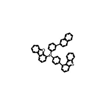 c1cc(-c2ccc3ccccc3c2)cc(N(c2ccc(-c3cccc4sc5ccccc5c34)cc2)c2cccc3c2oc2ccccc23)c1